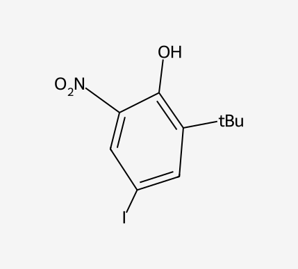 CC(C)(C)c1cc(I)cc([N+](=O)[O-])c1O